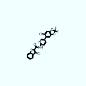 O=C(Nc1ccc(-c2cc3c(cc2Cl)OC(F)(F)O3)cn1)c1sc2ccccc2c1Cl